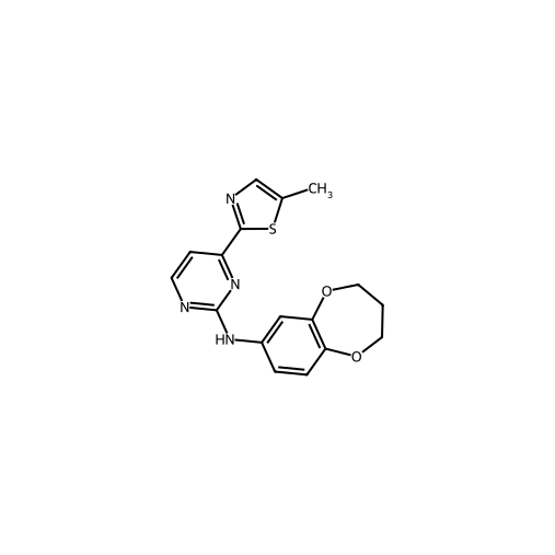 Cc1cnc(-c2ccnc(Nc3ccc4c(c3)OCCCO4)n2)s1